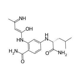 CC(=N)/C=C(\O)Nc1cc(N[C@H](CC(C)C)C(N)=O)ccc1C(N)=O